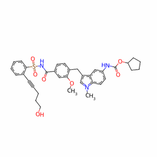 COc1cc(C(=O)NS(=O)(=O)c2ccccc2C#CCCCO)ccc1Cc1cn(C)c2ccc(NC(=O)OC3CCCC3)cc12